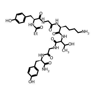 CCC(=O)N[C@@H](Cc1ccc(O)cc1)C(=O)NCC(=O)N[C@@H](CCCCN)C(=O)NC(C(=O)NCC(=O)N[C@H](Cc1ccc(O)cc1)C(N)=O)C(C)O